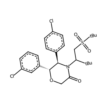 CC(C)(C)C(CS(=O)(=O)C(C)(C)C)N1C(=O)CO[C@H](c2cccc(Cl)c2)[C@H]1c1ccc(Cl)cc1